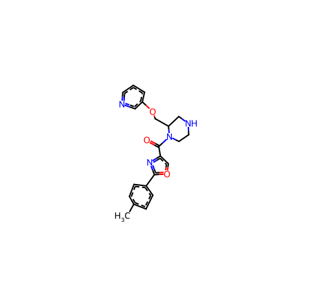 Cc1ccc(-c2nc(C(=O)N3CCNCC3COc3cccnc3)co2)cc1